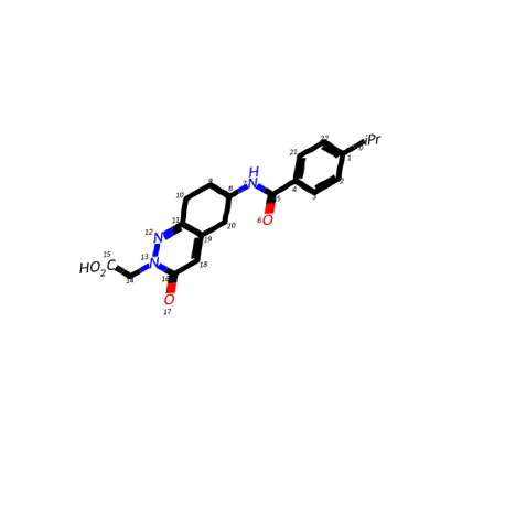 CC(C)c1ccc(C(=O)NC2CCc3nn(CC(=O)O)c(=O)cc3C2)cc1